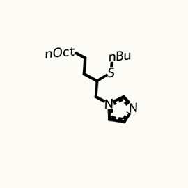 CCCCCCCCCCC(Cn1ccnc1)SCCCC